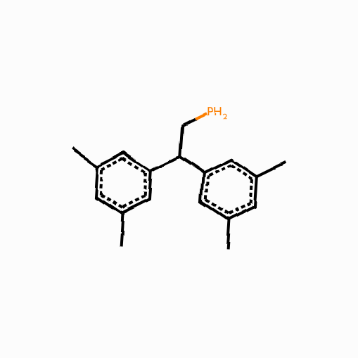 Cc1cc(C)cc(C(CP)c2cc(C)cc(C)c2)c1